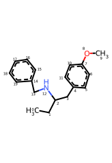 CCC(Cc1ccc(OC)cc1)NCc1ccccc1